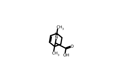 CC12C=CC(C)(CC1)C(C(=O)O)N2